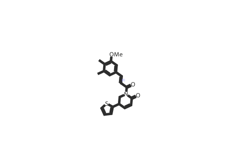 COc1cc(/C=C/C(=O)N2CC(c3cccs3)C=CC2=O)cc(C)c1C